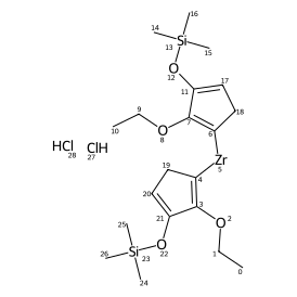 CCOC1=[C]([Zr][C]2=C(OCC)C(O[Si](C)(C)C)=CC2)CC=C1O[Si](C)(C)C.Cl.Cl